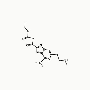 CCOC(=O)CC(=O)c1cc2c(N(C)C)nc(CCNC)cn2n1